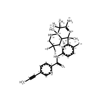 CC#Cc1ccc(C(=O)Nc2ccc(F)c([C@@]3(C)N=C(N)C(C)(C)S4(O)NCC(F)(F)C[C@H]34)n2)nc1